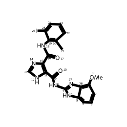 COc1cccc2[nH]c(NC(=O)c3[nH]cnc3C(=O)Nc3c(C)cccc3I)nc12